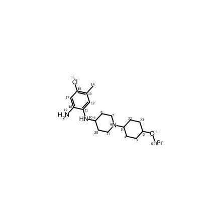 CCCOC1CCC(N2CCC(Nc3cc(C)c(Cl)cc3N)CC2)CC1